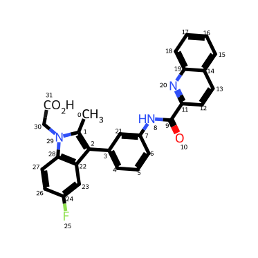 Cc1c(-c2cccc(NC(=O)c3ccc4ccccc4n3)c2)c2cc(F)ccc2n1CC(=O)O